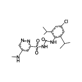 CNc1cnnc(S(=O)(=O)NC(=O)Nc2c(C(C)C)cc(Cl)cc2C(C)C)c1